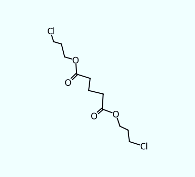 O=C(CCCC(=O)OCCCCl)OCCCCl